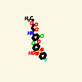 CCOC(=O)CC(=O)Nc1cc(Cl)c(Oc2ccc(O)c(S(=O)(=O)c3ccc(F)cc3)c2)c(Cl)c1